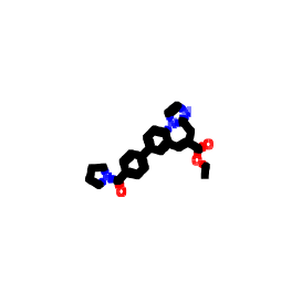 CCOC(=O)C1=Cc2cc(-c3ccc(C(=O)N4CCCC4)cc3)ccc2-n2ccnc2C1